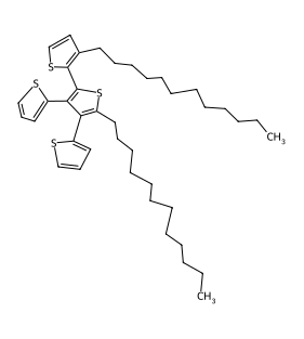 CCCCCCCCCCCCc1ccsc1-c1sc(CCCCCCCCCCCC)c(-c2cccs2)c1-c1cccs1